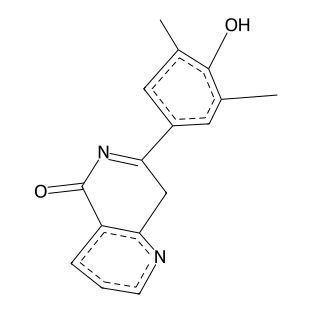 Cc1cc(C2=NC(=O)c3cccnc3C2)cc(C)c1O